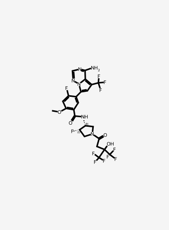 COc1cc(F)c(-c2cc(C(F)(F)F)c3c(N)ncnn23)cc1C(=O)N[C@@H]1CN(C(=O)CC(O)(C(F)(F)F)C(F)(F)F)C[C@@H]1F